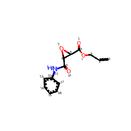 C=CCOC(=O)C1OC1C(=O)Nc1ccccc1